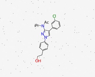 CC(=O)N(c1nn(-c2ccc(CCO)cc2)cc1-c1cccc(Cl)c1)C(C)C